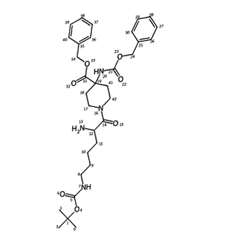 CC(C)(C)OC(=O)NCCCCC(N)C(=O)N1CCC(NC(=O)OCc2ccccc2)(C(=O)OCc2ccccc2)CC1